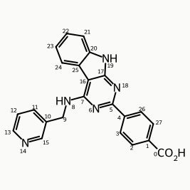 O=C(O)c1ccc(-c2nc(NCc3cccnc3)c3c(n2)[nH]c2ccccc23)cc1